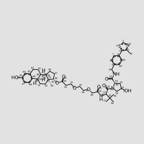 Cc1ncsc1-c1ccc(CNC(=O)[C@H]2CC(O)CN2C(=O)C(NC(=O)COCCOCCC(=O)O[C@H]2CC[C@@H]3[C@@H]4CCc5cc(O)ccc5[C@@H]4CC[C@]23C)C(C)(C)C)cc1